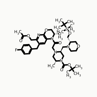 CC(=O)OCc1nc2c(cc1Cc1ccc(F)cc1)N(C(=O)CN1C[C@@H](C)N(C(=O)OC(C)(C)C)C[C@@H]1CN1CCOC[C@H]1CO[Si](C)(C)C(C)(C)C)[C@@H](C)CO2